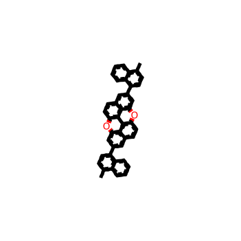 Cc1ccc(-c2cc3ccc4oc5cc(-c6ccc(C)c7ccccc67)cc6ccc7oc(c2)c3c4-c7c65)c2ccccc12